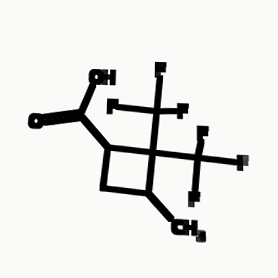 CC1CC(C(=O)O)C1(C(F)(F)F)C(F)(F)F